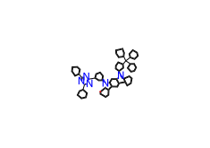 c1ccc(-c2nc(-c3ccccc3)nc(-c3cccc(-n4c5ccccc5c5cc6c7ccccc7n(-c7cccc(C(c8ccccc8)(c8ccccc8)c8ccccc8)c7)c6cc54)c3)n2)cc1